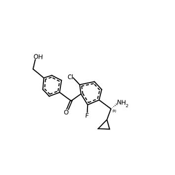 N[C@@H](c1ccc(Cl)c(C(=O)c2ccc(CO)cc2)c1F)C1CC1